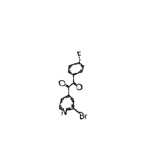 O=C(C(=O)c1ccnc(Br)c1)c1ccc(F)cc1